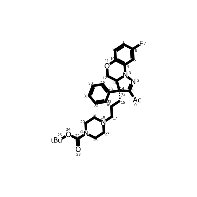 CC(=O)C1=NN2c3cc(F)ccc3OCC2[C@]1(CCCN1CCN(C(=O)OC(C)(C)C)CC1)c1ccccc1